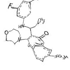 CC(Nc1cc(F)cc(F)c1)c1c(N2CCOCC2)oc2ccc(S(=O)(=O)O)cc2c1=O